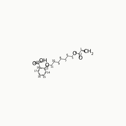 C=CC(=O)OCCCCCCCOc1ccccc1C(=O)O